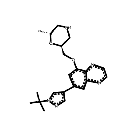 C[C@@H]1CNC[C@@H](COc2cc(-c3cnn(C(C)(C)C)c3)cc3nccnc23)O1